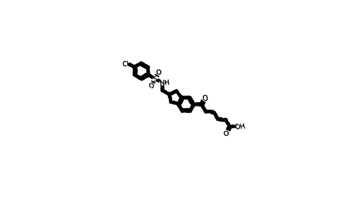 O=C(O)CCCCC(=O)c1ccc2c(c1)CC(CNS(=O)(=O)c1ccc(Cl)cc1)C2